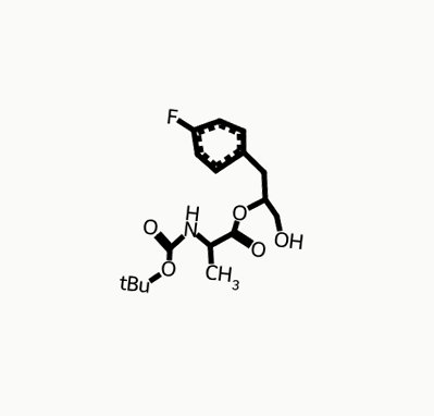 CC(NC(=O)OC(C)(C)C)C(=O)OC(CO)Cc1ccc(F)cc1